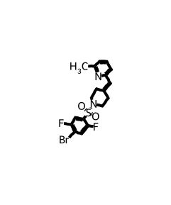 Cc1cccc(C=C2CCN(S(=O)(=O)c3cc(F)c(Br)cc3F)CC2)n1